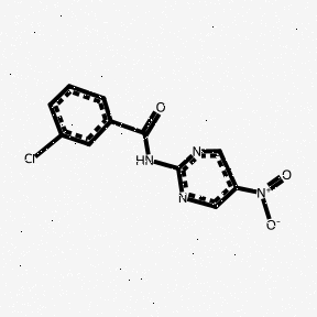 O=C(Nc1ncc([N+](=O)[O-])cn1)c1cccc(Cl)c1